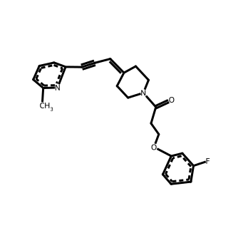 Cc1cccc(C#CC=C2CCN(C(=O)CCOc3cccc(F)c3)CC2)n1